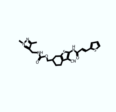 Cc1nn(C)cc1CNC(=O)OCC1CCc2c(sc(NC(=O)C=Cc3cccs3)c2C#N)C1